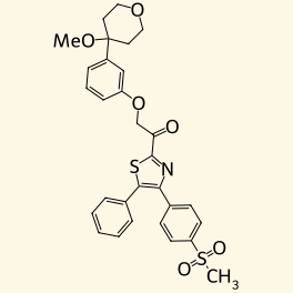 COC1(c2cccc(OCC(=O)c3nc(-c4ccc(S(C)(=O)=O)cc4)c(-c4ccccc4)s3)c2)CCOCC1